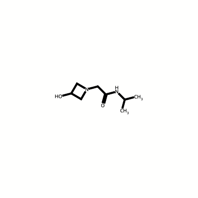 CC(C)NC(=O)CN1CC(O)C1